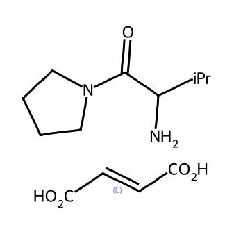 CC(C)C(N)C(=O)N1CCCC1.O=C(O)/C=C/C(=O)O